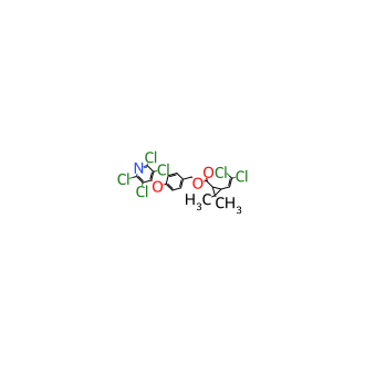 CC1(C)C(C=C(Cl)Cl)C1C(=O)OCc1ccc(Oc2c(Cl)c(Cl)nc(Cl)c2Cl)cc1